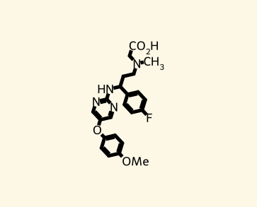 COc1ccc(Oc2cnc(NC(CCN(C)CC(=O)O)c3ccc(F)cc3)nc2)cc1